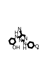 CO[C@H]1CC[C@H](Nc2ncc(C#N)c(N[C@@H]3CCC[C@H](O)C3)n2)CC1